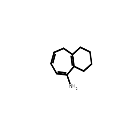 NC1=CC=CCC2=C1CCCC2